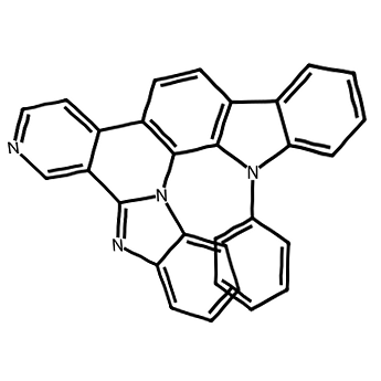 c1ccc(-n2c3ccccc3c3ccc4c5ccncc5c5nc6ccccc6n5c4c32)cc1